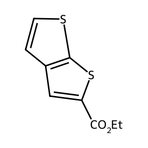 CCOC(=O)c1cc2ccsc2s1